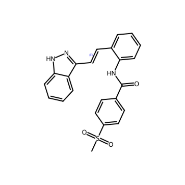 CS(=O)(=O)c1ccc(C(=O)Nc2ccccc2/C=C/c2n[nH]c3ccccc23)cc1